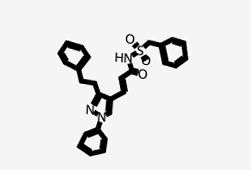 O=C(/C=C/c1cn(-c2ccccc2)nc1CCc1ccccc1)NS(=O)(=O)Cc1ccccc1